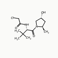 C[C@@H]1C[C@@H](O)CN1C(=O)[C@@H](NC(=O)CCl)C(C)(C)C